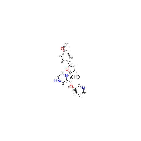 O=CC1(N2CCNCC2COc2cccnc2)CC=C(c2ccc(OC(F)(F)F)cc2)O1